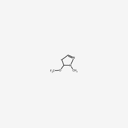 CN1N=C[C]C1OC(F)(F)F